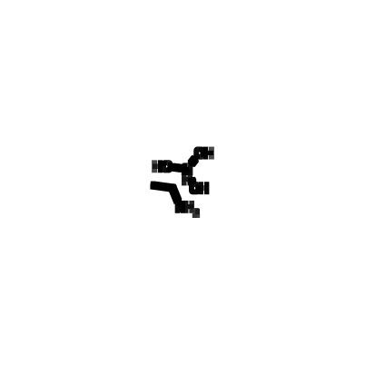 CCN.O[SiH](O)O